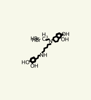 Br.Br.CCCN(CCCCCCNCCc1ccc(O)c(O)c1)[C@H]1CCc2c(ccc(O)c2O)C1